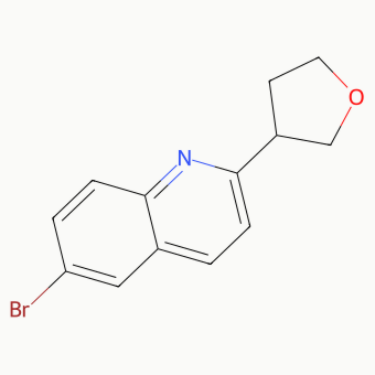 Brc1ccc2nc(C3CCOC3)ccc2c1